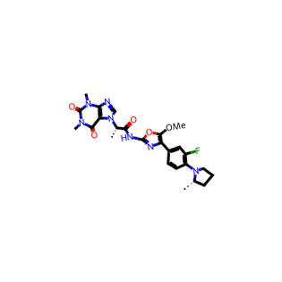 COc1oc(NC(=O)[C@H](C)n2cnc3c2c(=O)n(C)c(=O)n3C)nc1-c1ccc(N2CCC[C@@H]2C)c(F)c1